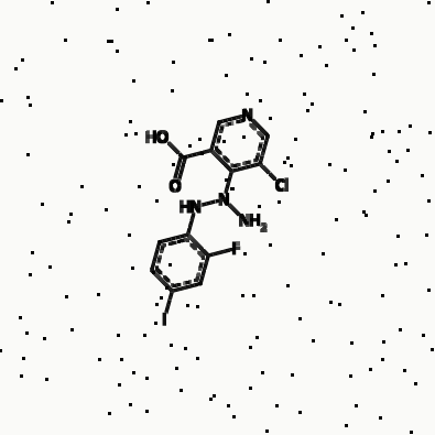 NN(Nc1ccc(I)cc1F)c1c(Cl)cncc1C(=O)O